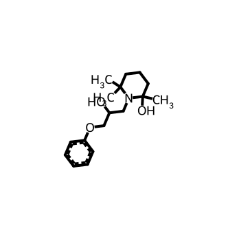 CC1(C)CCCC(C)(O)N1CC(O)COc1ccccc1